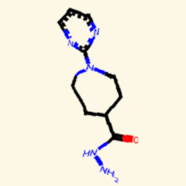 NNC(=O)C1CCN(c2ncccn2)CC1